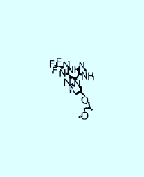 COCC(C)COCc1cnc2nc(-c3nc(C(F)(F)F)n[nH]3)c(-c3cnc[nH]3)n2c1